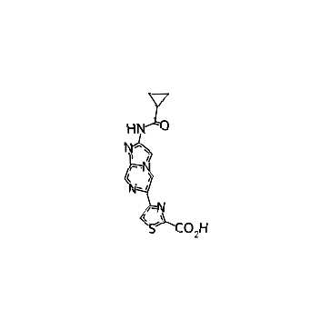 O=C(O)c1nc(-c2cn3cc(NC(=O)C4CC4)nc3cn2)cs1